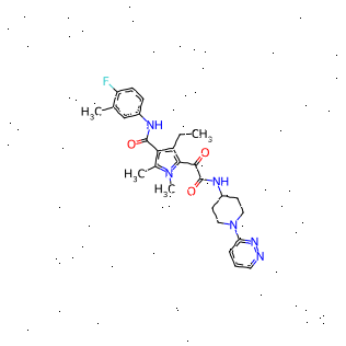 CCc1c(C(=O)Nc2ccc(F)c(C)c2)c(C)n(C)c1C(=O)C(=O)NC1CCN(c2cccnn2)CC1